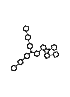 c1ccc(-c2ccc(-c3ccc(N(c4ccc(-c5ccc(-c6ccccc6)cc5)cc4)c4cccc(-c5cccc6c5c5cccc(-c7ccccc7)c5n6-c5ccccc5)c4)cc3)cc2)cc1